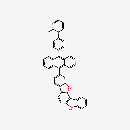 CC1C=CC=CC1c1ccc(-c2c3ccccc3c(-c3ccc4c(c3)oc3c4ccc4oc5ccccc5c43)c3ccccc23)cc1